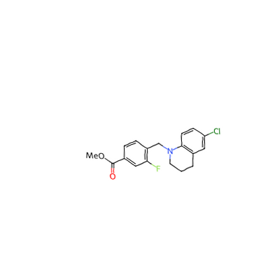 COC(=O)c1ccc(CN2CCCc3cc(Cl)ccc32)c(F)c1